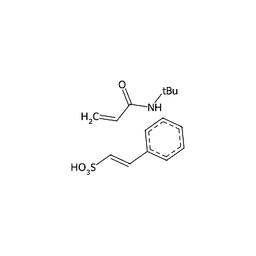 C=CC(=O)NC(C)(C)C.O=S(=O)(O)C=Cc1ccccc1